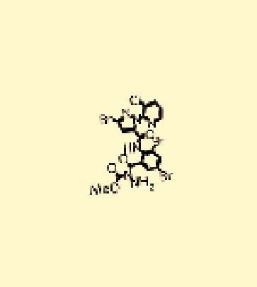 COC(=O)N(N)C(=O)c1cc(Br)cc(Br)c1NC(=O)c1cc(Br)nn1-c1ncccc1Cl